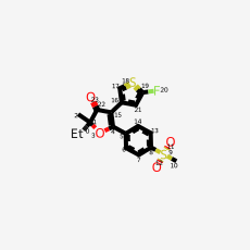 CCC1(C)OC(c2ccc(S(C)(=O)=O)cc2)=C(c2csc(F)c2)C1=O